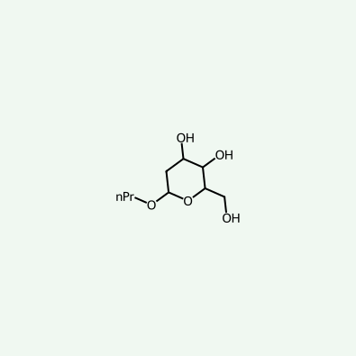 CCCOC1CC(O)C(O)C(CO)O1